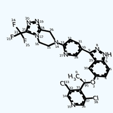 C[C@@H](Oc1ccc2[nH]nc(-c3ccc(N4CCn5c(nnc5C(F)(F)F)C4)nc3)c2c1)c1c(Cl)cncc1Cl